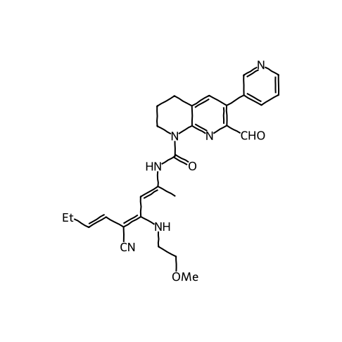 CC/C=C/C(C#N)=C(\C=C(/C)NC(=O)N1CCCc2cc(-c3cccnc3)c(C=O)nc21)NCCOC